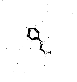 OCOc1ccccc1